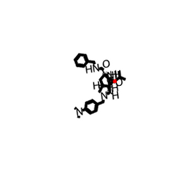 CC(C)C[C@@H]1[C@@H]2[C@@H]3C(=O)N[C@@]1(C(=O)NCc1ccccc1)C[C@@H]3CN2Cc1ccc(N(C)C)cc1